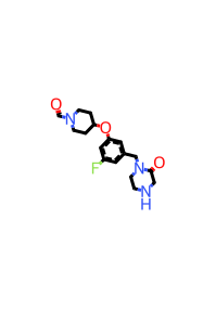 O=CN1CCC(Oc2cc(F)cc(CN3CCNCC3=O)c2)CC1